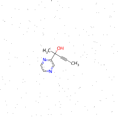 CC#CC(C)(O)c1cnccn1